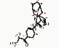 CC(C)C(=O)C1CC=C(c2nccc(N3C4CCC3CN(C(C)S)C4)n2)CC1